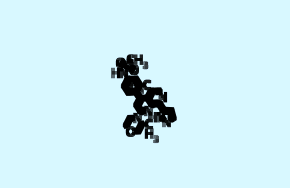 Cc1cnc(-c2ccn[nH]2)c2nc(N3CCOC[C@H]3C)cc(-c3ccc(NS(C)(=O)=O)cc3)c12